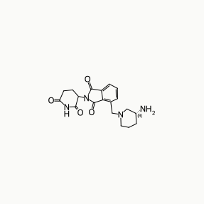 N[C@@H]1CCCN(Cc2cccc3c2C(=O)N(C2CCC(=O)NC2=O)C3=O)C1